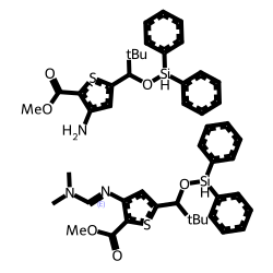 COC(=O)c1sc(C(O[SiH](c2ccccc2)c2ccccc2)C(C)(C)C)cc1/N=C/N(C)C.COC(=O)c1sc(C(O[SiH](c2ccccc2)c2ccccc2)C(C)(C)C)cc1N